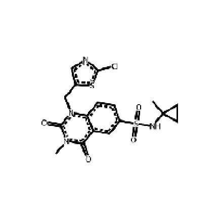 Cn1c(=O)c2cc(S(=O)(=O)NC3(C)CC3)ccc2n(Cc2cnc(Cl)s2)c1=O